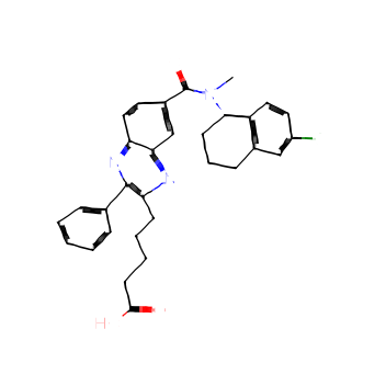 CN(C(=O)c1ccc2nc(-c3ccccc3)c(CCCCC(=O)O)nc2c1)[C@@H]1CCCc2cc(Cl)ccc21